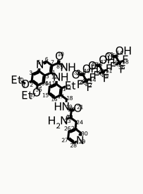 CCOc1cc2ncc(C(N)=O)c(Nc3cccc(CNC(=O)[C@H](N)Cc4cccnc4)c3CC)c2cc1OCC.O=C(O)C(F)(F)F.O=C(O)C(F)(F)F.O=C(O)C(F)(F)F